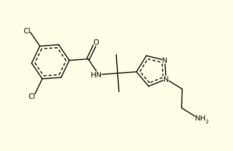 CC(C)(NC(=O)c1cc(Cl)cc(Cl)c1)c1cnn(CCN)c1